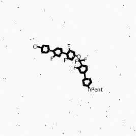 CCCCCc1ccc(-c2ccc(C(F)(F)Oc3cc(F)c(-c4ccc(-c5ccc(Cl)cc5)c(F)c4)c(F)c3)c(F)c2)cc1